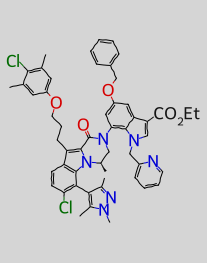 CCOC(=O)c1cn(Cc2ccccn2)c2c(N3C[C@@H](C)n4c(c(CCCOc5cc(C)c(Cl)c(C)c5)c5ccc(Cl)c(-c6c(C)nn(C)c6C)c54)C3=O)cc(OCc3ccccc3)cc12